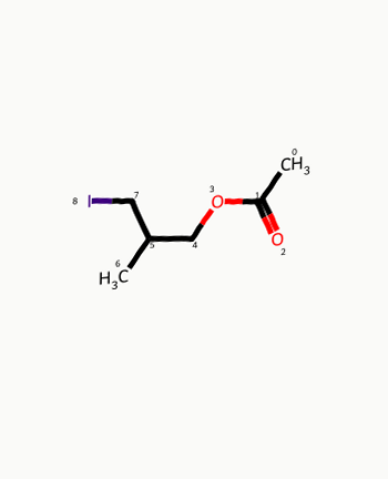 CC(=O)OCC(C)CI